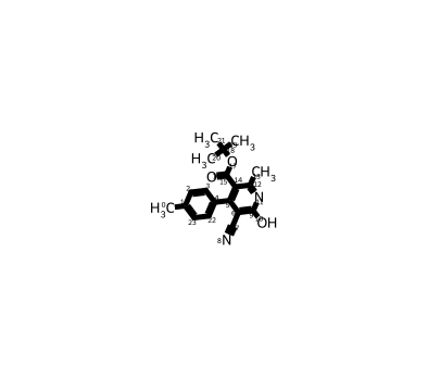 Cc1ccc(-c2c(C#N)c(O)nc(C)c2C(=O)OC(C)(C)C)cc1